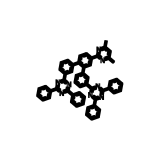 Cc1cc(C)nc(-c2ccc(-c3cccc(-c4nc(-c5ccccc5)nc(-c5ccccc5)n4)c3)c(-c3cccc(-c4nc(-c5ccccc5)nc(-c5ccccc5)n4)c3)c2)n1